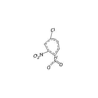 O=[N+]([O-])c1cc(Cl)ccc1[SH](=O)=O